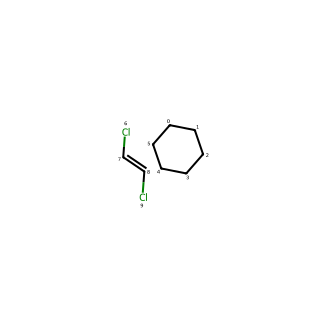 C1CCCCC1.ClC=CCl